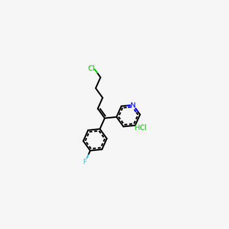 Cl.Fc1ccc(/C(=C/CCCCl)c2cccnc2)cc1